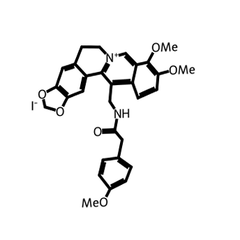 COc1ccc(CC(=O)NCc2c3[n+](cc4c(OC)c(OC)ccc24)CCc2cc4c(cc2-3)OCO4)cc1.[I-]